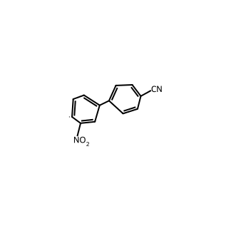 N#Cc1ccc(-c2cc[c]c([N+](=O)[O-])c2)cc1